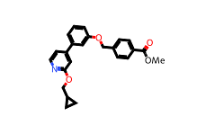 COC(=O)c1ccc(COc2cccc(-c3ccnc(OCC4CC4)c3)c2)cc1